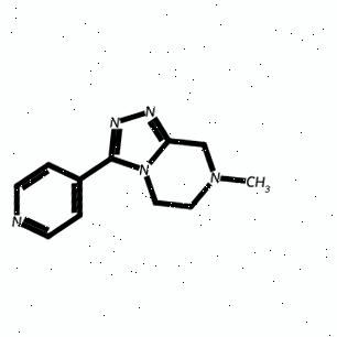 CN1CCn2c(nnc2-c2ccncc2)C1